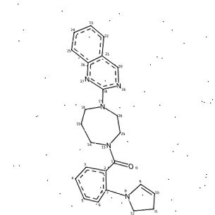 O=C(c1ccccc1N1C=CCC1)N1CCCN(c2ncc3ccccc3n2)CC1